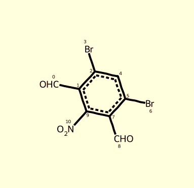 O=Cc1c(Br)cc(Br)c(C=O)c1[N+](=O)[O-]